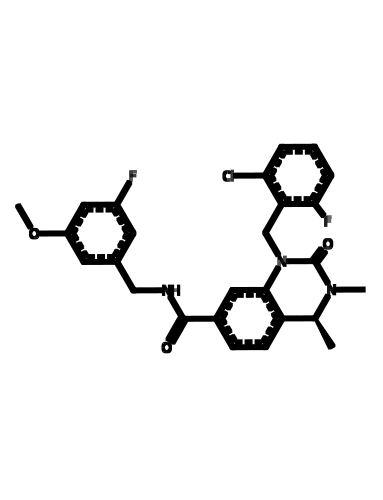 COc1cc(F)cc(CNC(=O)c2ccc3c(c2)N(Cc2c(F)cccc2Cl)C(=O)N(C)[C@H]3C)c1